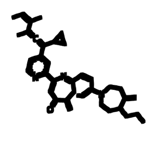 C=C1CC(/C=C\C(=C/C)N2CCC(=C)C(CCC)CC2)=NC(c2cc(C(=C=C(C)/C(C)=C\C)C3CC3)ccn2)=CC1=O